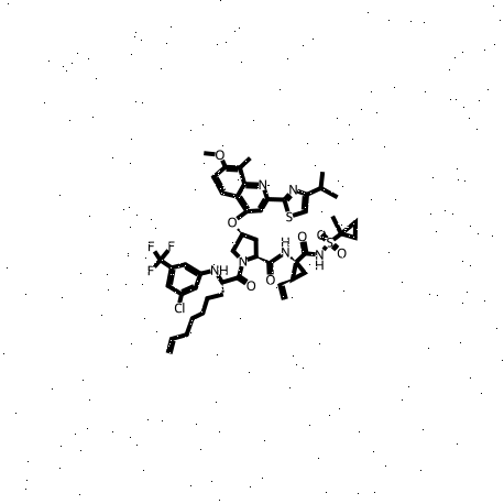 C=CCCCCC[C@H](Nc1cc(Cl)cc(C(F)(F)F)c1)C(=O)N1C[C@H](Oc2cc(-c3nc(C(C)C)cs3)nc3c(C)c(OC)ccc23)C[C@H]1C(=O)N[C@]1(C(=O)NS(=O)(=O)C2(C)CC2)C[C@H]1C=C